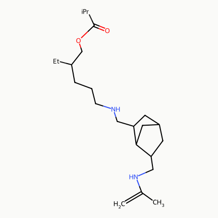 C=C(C)NCC1CC2CC(CNCCCC(CC)COC(=O)C(C)C)C1C2